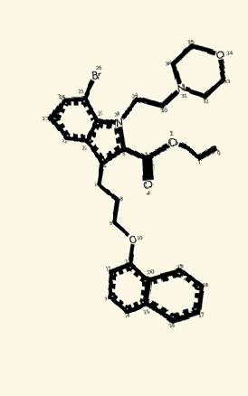 CCOC(=O)c1c(CCCOc2cccc3ccccc23)c2cccc(Br)c2n1CCN1CCOCC1